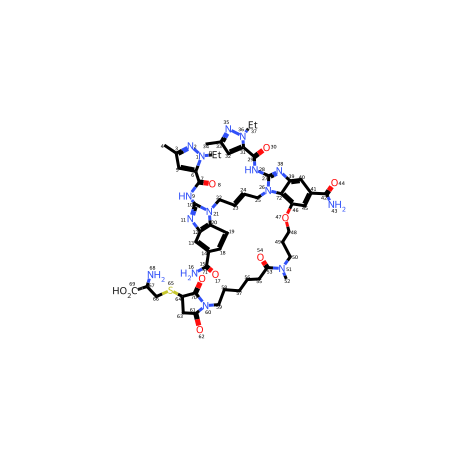 CCn1nc(C)cc1C(=O)Nc1nc2cc(C(N)=O)ccc2n1C/C=C/Cn1c(NC(=O)c2cc(C)nn2CC)nc2cc(C(N)=O)cc(OCCCN(C)C(=O)CCCCCN3C(=O)CC(SCC(N)C(=O)O)C3=O)c21